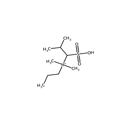 CCC[N+](C)(C)C(C(C)C)S(=O)(=O)O